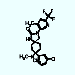 Cc1cc(C(F)(F)F)ncc1N1C[C@]2(CC[C@](c3cccc(Cl)c3)(N(C)C)CC2)NC1=O